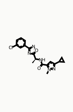 C[C@H](NC(=O)c1cc(C2CC2)nn1C)c1nc(-c2cccc(Cl)c2)no1